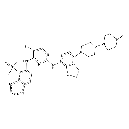 CN1CCN(C2CCN(c3ccc(Nc4ncc(Br)c(Nc5ccc6nccnc6c5P(C)(C)=O)n4)c4c3CCO4)CC2)CC1